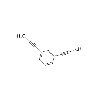 CC#Cc1cccc(C#CC)c1